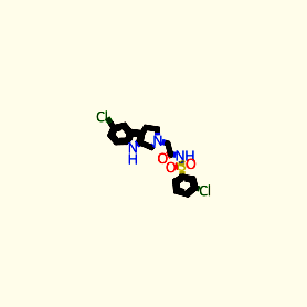 O=C(CN1CCc2c([nH]c3ccc(Cl)cc23)C1)NS(=O)(=O)c1cccc(Cl)c1